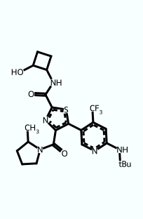 CC1CCCN1C(=O)c1nc(C(=O)NC2CCC2O)sc1-c1cnc(NC(C)(C)C)cc1C(F)(F)F